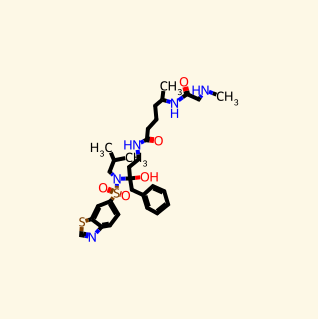 CNCC(=O)NC(C)CCCC(=O)NCCC(O)(Cc1ccccc1)N(CC(C)C)S(=O)(=O)c1ccc2ncsc2c1